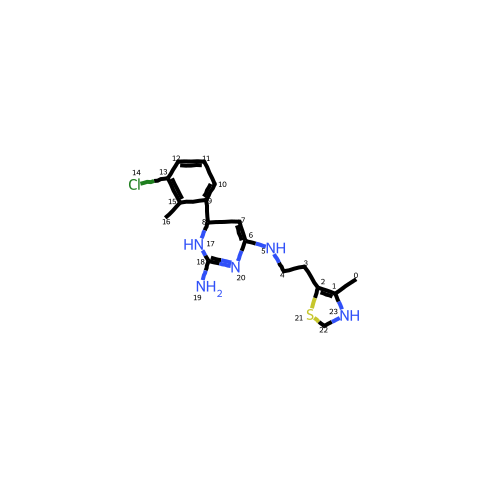 CC1=C(CCNC2=CC(c3cccc(Cl)c3C)NC(N)=N2)SCN1